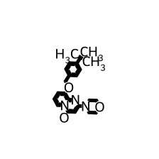 CC(C)(C)c1ccc(COc2cccn3c(=O)cc(N4CCOCC4)nc23)cc1